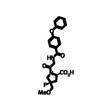 COC[C@@]1(F)C[C@@H](C(=O)O)N(C(=O)CNC(=O)c2ccc(Oc3ccccc3)cc2)C1